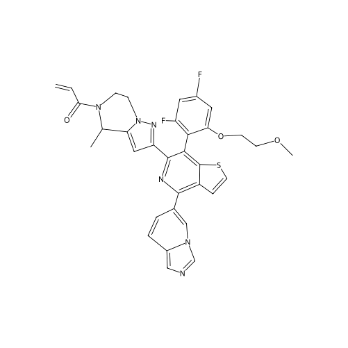 C=CC(=O)N1CCn2nc(-c3nc(-c4ccc5cncn5c4)c4ccsc4c3-c3c(F)cc(F)cc3OCCOC)cc2C1C